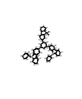 CC1(C)c2ccccc2-c2ccc(-c3cc(-c4ccc5c(c4)c4ccccc4n5-c4ccccc4)cc(-c4ccc5c6ccccc6n(-c6ccccc6)c5c4)c3)cc21